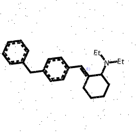 CCN(CC)C1CCCC/C1=C\c1ccc(Cc2ccccc2)cc1